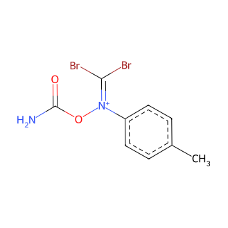 Cc1ccc([N+](OC(N)=O)=C(Br)Br)cc1